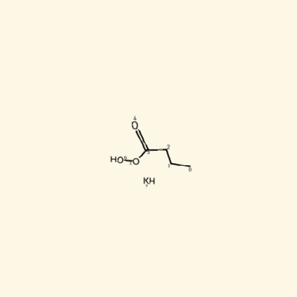 CCCC(=O)OO.[KH]